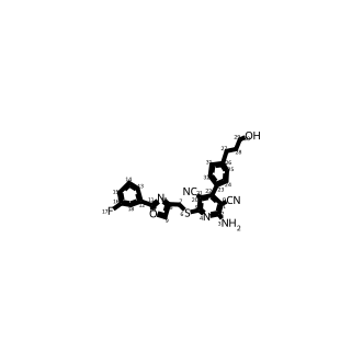 N#Cc1c(N)nc(SCc2coc(-c3cccc(F)c3)n2)c(C#N)c1-c1ccc(CCCO)cc1